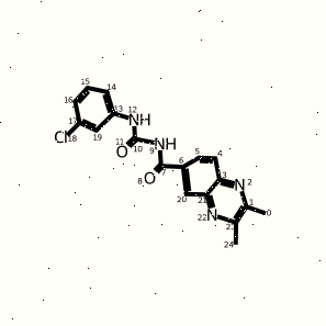 Cc1nc2ccc(C(=O)NC(=O)Nc3cccc(Cl)c3)cc2nc1C